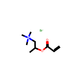 C=CC(=O)OC(C)C[N+](C)(C)C.[Br-]